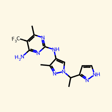 Cc1nn(C(C)c2cc[nH]n2)cc1Nc1nc(C)c(C(F)(F)F)c(N)n1